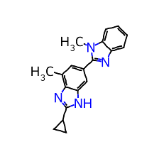 Cc1cc(-c2nc3ccccc3n2C)cc2[nH]c(C3CC3)nc12